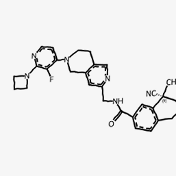 C[C@@]1(C#N)COCc2ccc(C(=O)NCc3cc4c(cn3)CCN(c3ccnc(N5CCC5)c3F)C4)cc21